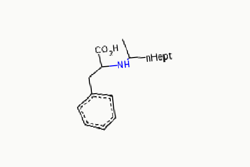 CCCCCCCC(C)NC(Cc1ccccc1)C(=O)O